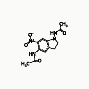 CC(=O)Nc1cc2c(cc1[N+](=O)[O-])N(NC(C)=O)CC2